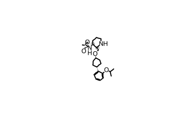 CC(C)Oc1ccccc1[C@H]1CC[C@@H](OC[C@@H]2NCCC[C@@H]2NS(C)(=O)=O)CC1